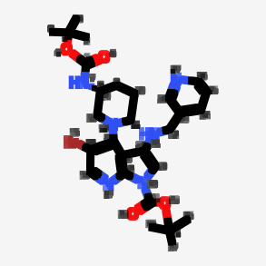 CC(C)(C)OC(=O)N[C@@H]1CCCN(c2c(Br)cnc3c2c(NCc2cccnc2)cn3C(=O)OC(C)(C)C)C1